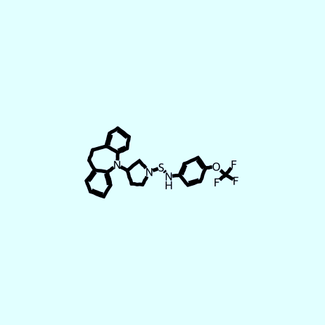 FC(F)(F)Oc1ccc(NSN2CCC(N3c4ccccc4CCc4ccccc43)C2)cc1